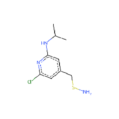 CC(C)Nc1cc(CSN)cc(Cl)n1